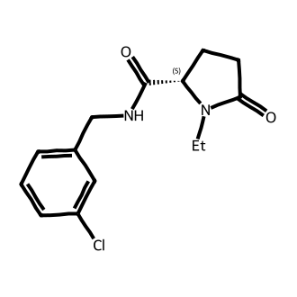 CCN1C(=O)CC[C@H]1C(=O)NCc1cccc(Cl)c1